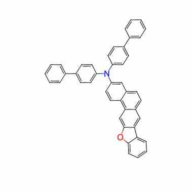 c1ccc(-c2ccc(N(c3ccc(-c4ccccc4)cc3)c3ccc4c(ccc5cc6c(cc54)oc4ccccc46)c3)cc2)cc1